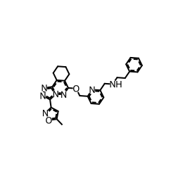 Cc1cc(-c2nnc3c4c(c(OCc5cccc(CNCCc6ccccc6)n5)nn23)CCCC4)no1